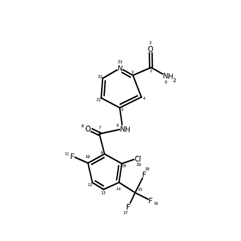 NC(=O)c1cc(NC(=O)c2c(F)ccc(C(F)(F)F)c2Cl)ccn1